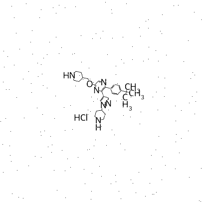 CC(C)(C)c1ccc(-c2ncc(OCC3CCNCC3)nc2-c2cnn(C3CCNCC3)c2)cc1.Cl